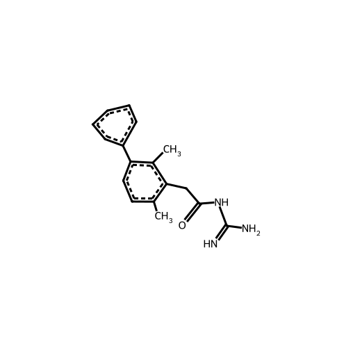 Cc1ccc(-c2ccccc2)c(C)c1CC(=O)NC(=N)N